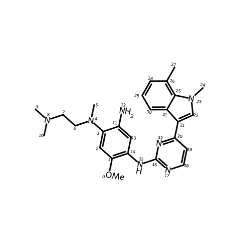 COc1cc(N(C)CCN(C)C)c(N)cc1Nc1nccc(-c2cn(C)c3c(C)cccc23)n1